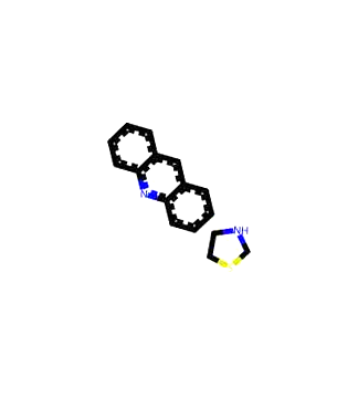 C1CSCN1.c1ccc2nc3ccccc3cc2c1